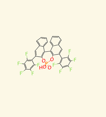 O=P1(O)Oc2c(-c3c(F)c(F)c(F)c(F)c3F)cc3ccccc3c2-c2c(c(-c3c(F)c(F)c(F)c(F)c3F)cc3ccccc23)O1